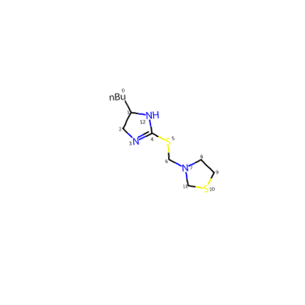 CCCCC1CN=C(SCN2CCSC2)N1